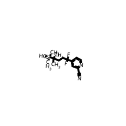 CC(C)(CCC(F)(F)c1ccnc(C#N)c1)[Si](C)(C)O